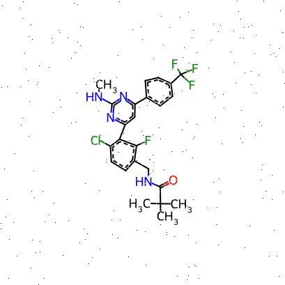 CNc1nc(-c2ccc(C(F)(F)F)cc2)cc(-c2c(Cl)ccc(CNC(=O)C(C)(C)C)c2F)n1